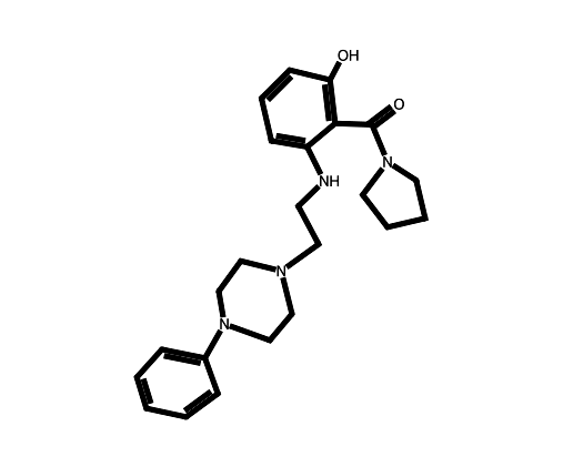 O=C(c1c(O)cccc1NCCN1CCN(c2ccccc2)CC1)N1CCCC1